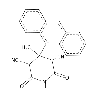 CC1(c2c3ccccc3cc3ccccc23)C(C#N)C(=O)NC(=O)C1C#N